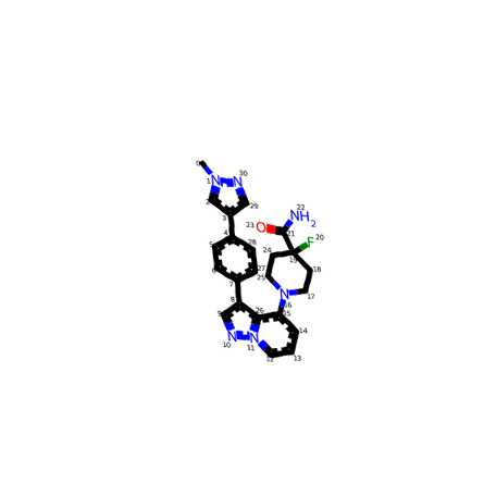 Cn1cc(-c2ccc(-c3cnn4cccc(N5CCC(F)(C(N)=O)CC5)c34)cc2)cn1